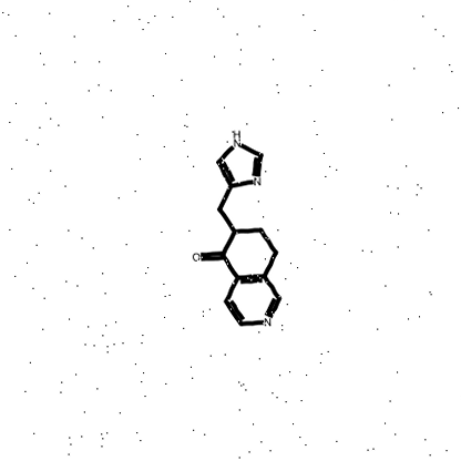 O=C1c2ccncc2CCC1Cc1c[nH]cn1